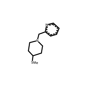 CSC1CCN(Cc2ccccn2)CC1